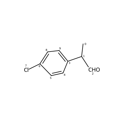 CC(C=O)c1ccc(Cl)cc1